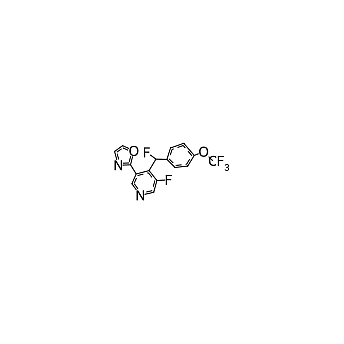 Fc1cncc(-c2ncco2)c1C(F)c1ccc(OC(F)(F)F)cc1